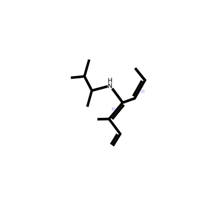 C=C/C(C)=C(\C=C/C)NC(C)C(C)C